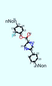 CCCCCCCCCc1ccc(-c2cnc(C(=O)Oc3ccc(CCCCCCCCC)cc3F)cn2)cc1